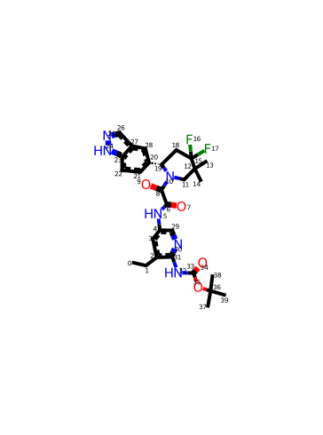 CCc1cc(NC(=O)C(=O)N2CC(C)(C)C(F)(F)C[C@H]2c2ccc3[nH]ncc3c2)cnc1NC(=O)OC(C)(C)C